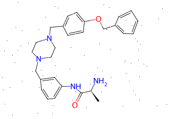 C[C@H](N)C(=O)Nc1cccc(CN2CCN(Cc3ccc(OCc4ccccc4)cc3)CC2)c1